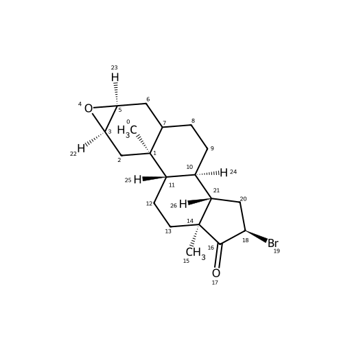 C[C@]12C[C@H]3O[C@H]3CC1CC[C@@H]1[C@@H]2CC[C@]2(C)C(=O)[C@H](Br)C[C@@H]12